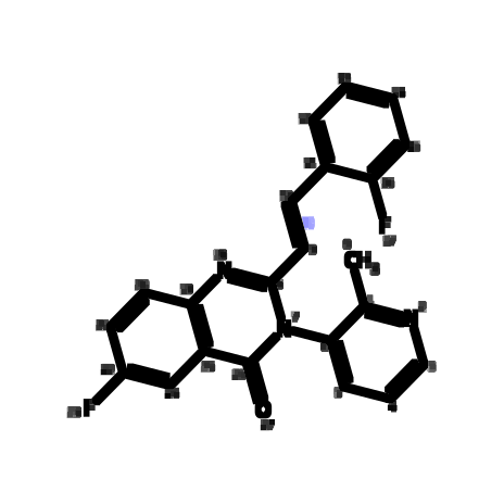 Cc1ncccc1-n1c(/C=C/c2ccccc2F)nc2ccc(F)cc2c1=O